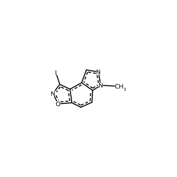 Cn1ncc2c3c(I)noc3ccc21